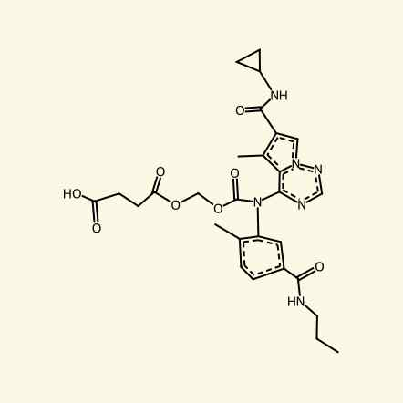 CCCNC(=O)c1ccc(C)c(N(C(=O)OCOC(=O)CCC(=O)O)c2ncnn3cc(C(=O)NC4CC4)c(C)c23)c1